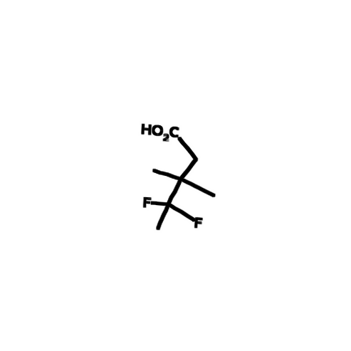 CC(F)(F)C(C)(C)CC(=O)O